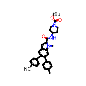 Cc1ccc(-c2cc3c(cc2-c2ccc(C#N)cc2)cc(C(=O)NC2CCN(C(=O)OC(C)(C)C)CC2)n3C)cc1